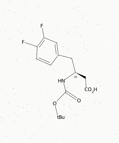 CC(C)(C)OC(=O)N[C@H](CC(=O)O)Cc1ccc(F)c(F)c1